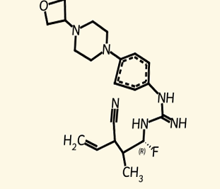 C=CC(C#N)C(C)[C@@H](F)NC(=N)Nc1ccc(N2CCN(C3COC3)CC2)cc1